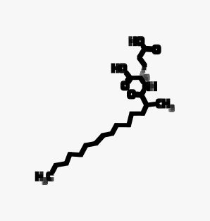 CCCCCCCCCCCCCC(C)C(=O)N[C@@H](CCC(=O)O)C(=O)O